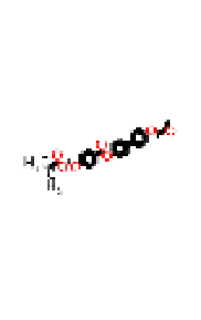 C=C(C)C(=O)OCOc1ccc(C(=O)Oc2ccc(-c3ccc(OCC4CO4)cc3)cc2)cc1